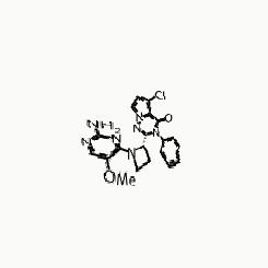 COc1cnc(N)nc1N1CC[C@H]1c1nn2ccc(Cl)c2c(=O)n1-c1ccccc1